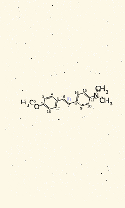 COc1ccc(/C=C/c2ccc(N(C)C)cc2)cc1